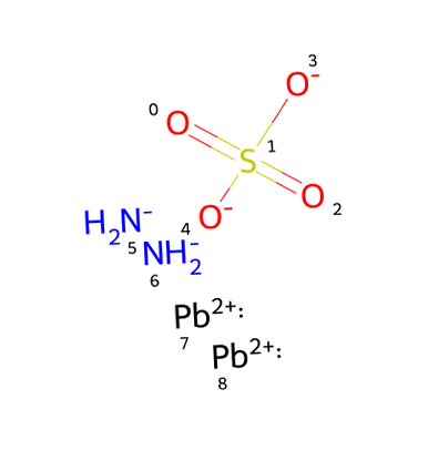 O=S(=O)([O-])[O-].[NH2-].[NH2-].[Pb+2].[Pb+2]